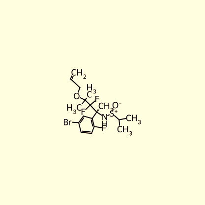 C=CCOC(C)(C)C(F)(F)[C@](C)(N[S@+]([O-])C(C)C)c1cc(Br)ccc1F